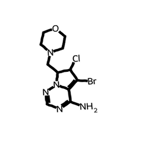 NC1=NC=NN2C1=C(Br)C(Cl)C2CN1CCOCC1